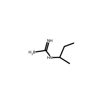 BC(=N)NC(C)CC